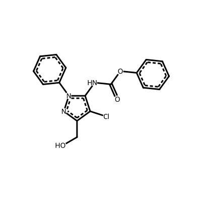 O=C(Nc1c(Cl)c(CO)nn1-c1ccccc1)Oc1ccccc1